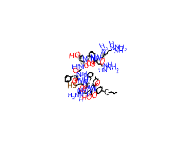 CCCCCCc1ccc(N(C(=O)[C@H](CC(C)C)NC(=O)[C@@H](Cc2ccccc2)NC(=O)C(CS)NC(=O)[C@H](Cc2ccccc2)NC(=O)CNC(=O)[C@@H]2C[C@H](O)CN2C(=O)[C@@H]2CCCN2C(=O)[C@H](CCCNC(=N)N)NC(=O)[C@H](N)CCCNC(=N)N)[C@@H](CCCNC(=N)N)C(=O)O)cc1